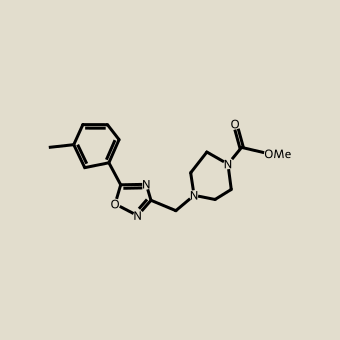 COC(=O)N1CCN(Cc2noc(-c3cccc(C)c3)n2)CC1